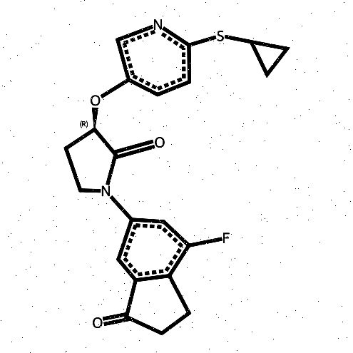 O=C1CCc2c(F)cc(N3CC[C@@H](Oc4ccc(SC5CC5)nc4)C3=O)cc21